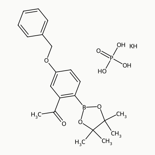 CC(=O)c1cc(OCc2ccccc2)ccc1B1OC(C)(C)C(C)(C)O1.O=P(O)(O)O.[KH]